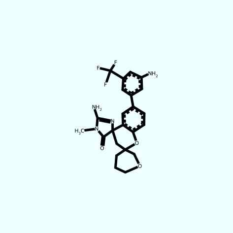 CN1C(=O)C2(CC3(CCCOC3)Oc3ccc(-c4cc(N)cc(C(F)(F)F)c4)cc32)N=C1N